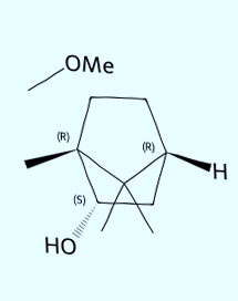 CC1(C)[C@@H]2CC[C@@]1(C)[C@@H](O)C2.COC